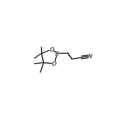 CC1(C)OB(CCC#N)OC1(C)C